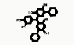 Oc1ccc(C(c2cc(C3CCCCC3)c(O)cc2O)c2cc(C3CCCCC3)c(O)cc2O)cc1O